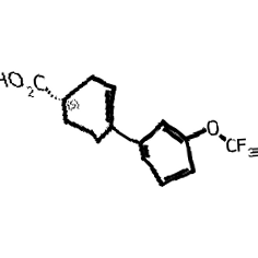 O=C(O)[C@@H]1CC=C(c2cccc(OC(F)(F)F)c2)CC1